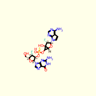 Nc1nc2c(ncn2[C@@H]2O[C@H](CO)[C@@H](F)[C@H]2OP(O)(=S)OC2[C@H]3O[C@@H](n4ccc5c(N)ncnc54)[C@@H](F)[C@@]23O)c(=O)[nH]1